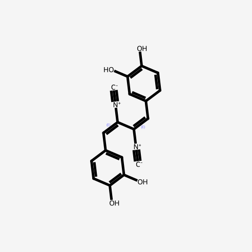 [C-]#[N+]C(=C/c1ccc(O)c(O)c1)/C(=C\c1ccc(O)c(O)c1)[N+]#[C-]